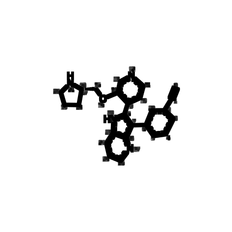 C#Cc1cccc(-c2c(-c3ccncc3OC[C@@H]3CCCN3)[nH]c3cccnc23)c1